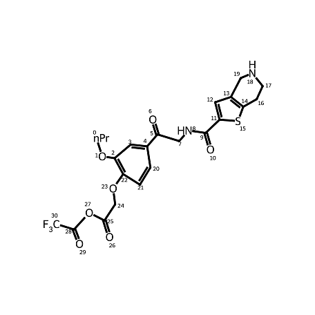 CCCOc1cc(C(=O)CNC(=O)c2cc3c(s2)CCNC3)ccc1OCC(=O)OC(=O)C(F)(F)F